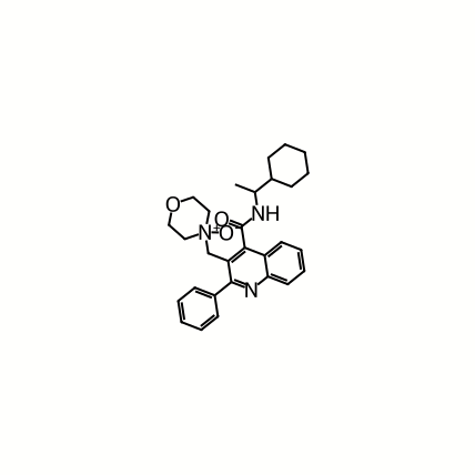 CC(NC(=O)c1c(C[N+]2([O-])CCOCC2)c(-c2ccccc2)nc2ccccc12)C1CCCCC1